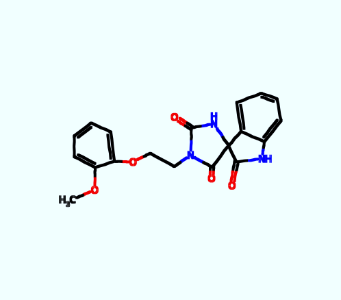 COc1ccccc1OCCN1C(=O)NC2(C(=O)Nc3ccccc32)C1=O